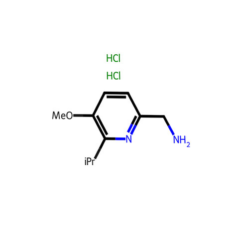 COc1ccc(CN)nc1C(C)C.Cl.Cl